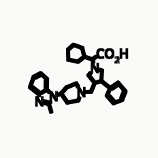 Cc1nc2ccccc2n1C1CCN(CC2CN(C(C(=O)O)C3CCCCC3)CC2c2ccccc2)CC1